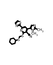 Cc1ncc(-c2cc(-c3nccs3)nc(SCSC3CCCCC3)c2C#N)n1C